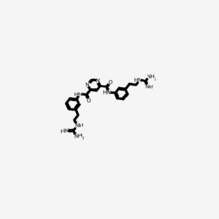 N=C(N)NCCc1cccc(NC(=O)c2cc(C(=O)Nc3cccc(CCNC(=N)N)c3)ncn2)c1